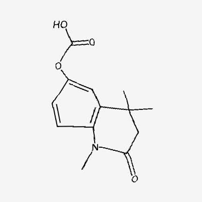 CN1C(=O)CC(C)(C)c2cc(OC(=O)O)ccc21